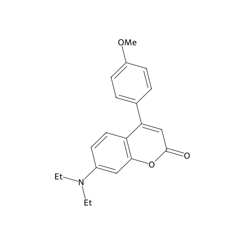 CCN(CC)c1ccc2c(-c3ccc(OC)cc3)cc(=O)oc2c1